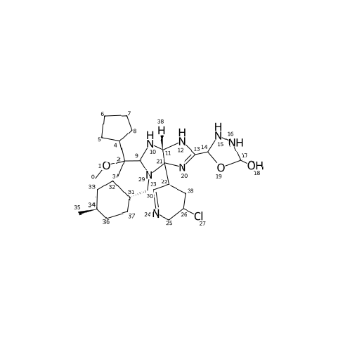 COC(C)(C1CCCC1)C1N[C@@H]2NC(C3NNC(O)O3)=NC2(C2C=NCC(Cl)C2)N1C[C@H]1CC[C@H](C)CC1